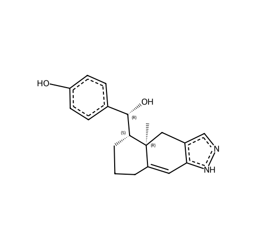 C[C@]12Cc3cn[nH]c3C=C1CCC[C@@H]2[C@@H](O)c1ccc(O)cc1